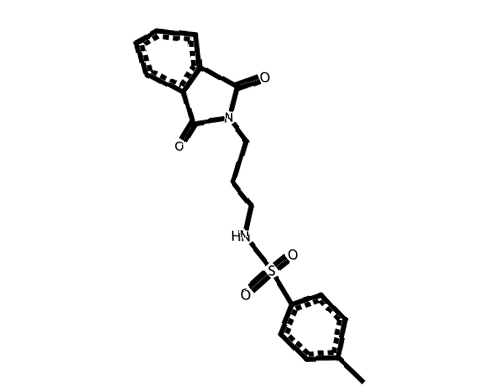 Cc1ccc(S(=O)(=O)NCCCN2C(=O)c3ccccc3C2=O)cc1